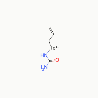 C=CC[Te+]NC(N)=O